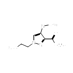 CCCCNc1cn(CCOC(C)=O)nc1C(=O)OC